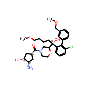 COCCCC[C@@](O)(c1cccc(Cl)c1-c1cccc(COC)c1)C1CN(C(=O)[C@H]2C[C@@H](N)[C@@H](O)C2)CCO1